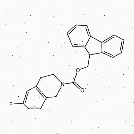 O=C(OCC1c2ccccc2-c2ccccc21)N1CCc2cc(F)ccc2C1